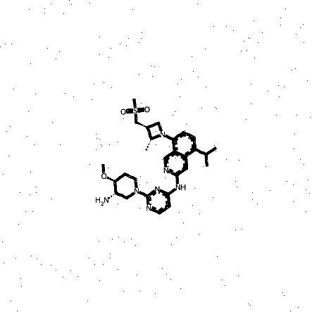 CO[C@H]1CCN(c2nccc(Nc3cc4c(C(C)C)ccc(N5C[C@H](CS(C)(=O)=O)[C@H]5C)c4cn3)n2)C[C@@H]1N